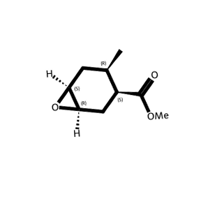 COC(=O)[C@H]1C[C@H]2O[C@H]2C[C@H]1C